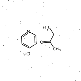 CCC(C)=O.Cl.c1ccncc1